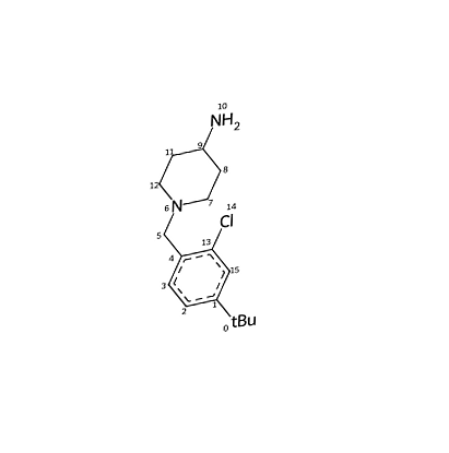 CC(C)(C)c1ccc(CN2CCC(N)CC2)c(Cl)c1